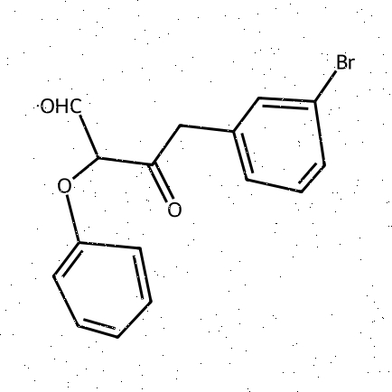 O=[C]C(Oc1ccccc1)C(=O)Cc1cccc(Br)c1